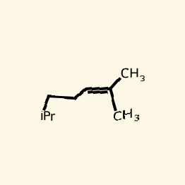 CC(C)=CCCC(C)C